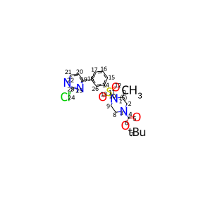 C[C@H]1CN(C(=O)OC(C)(C)C)CCN1S(=O)(=O)c1cccc(-c2ccnc(Cl)n2)c1